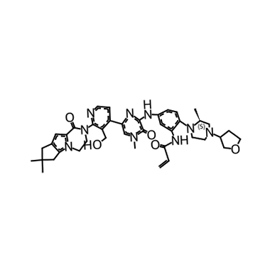 C=CC(=O)Nc1cc(Nc2nc(-c3ccnc(N4CCn5c(cc6c5CC(C)(C)C6)C4=O)c3CO)cn(C)c2=O)ccc1N1CCN(C2CCOC2)C[C@@H]1C